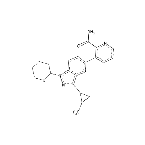 NC(=O)c1ncccc1-c1ccc2c(c1)c(C1CC1C(F)(F)F)nn2C1CCCCO1